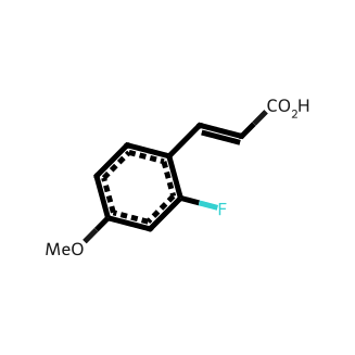 COc1ccc(C=CC(=O)O)c(F)c1